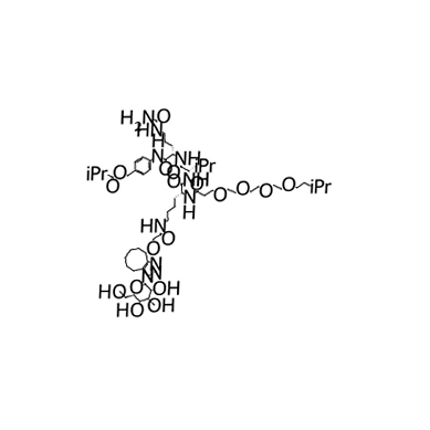 CC(C)CCOCCOCCOCCOCCC(=O)N[C@H](CCCCNC(=O)COC1CCCCCc2c1nnn2[C@@H]1O[C@H](CO)[C@H](O)[C@H](O)[C@H]1O)C(=O)N[C@H](C(=O)N[C@@H](CCCNC(N)=O)C(=O)Nc1ccc(COC(=O)C(C)C)cc1)C(C)C